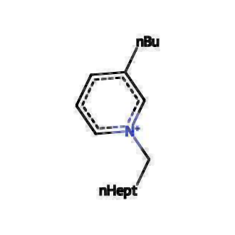 CCCCCCCC[n+]1cccc(CCCC)c1